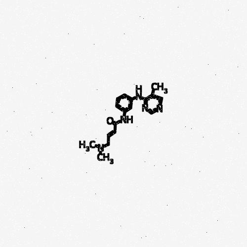 Cc1cncnc1Nc1cccc(NC(=O)/C=C/CN(C)C)c1